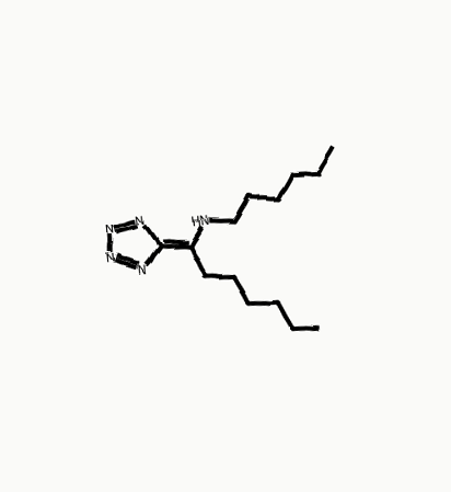 CCCCCCNC(CCCCCC)=C1N=NN=N1